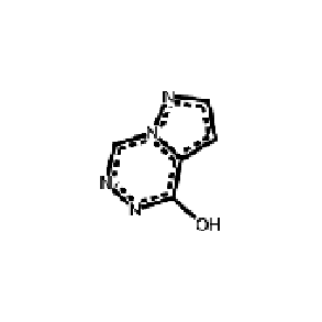 Oc1nncn2nccc12